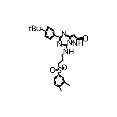 Cc1ccc(S(=O)(=O)CCCNc2nc(-c3ccc(C(C)(C)C)cc3)nc3cc(=O)[nH]n23)cc1C